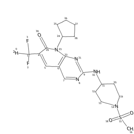 [2H]C(F)(F)c1cc2cnc(NC3CCN(S(C)(=O)=O)CC3)nc2n(C2CCCC2)c1=O